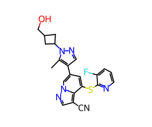 Cc1c(-c2cc(Sc3ncccc3F)c3c(C#N)cnn3c2)cnn1C1CC(CO)C1